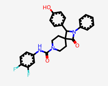 O=C(Nc1ccc(F)c(F)c1)N1CCC2(CC1)C(=O)N(c1ccccc1)C2c1ccc(O)cc1